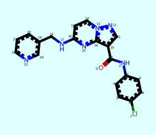 O=C(Nc1ccc(Cl)cc1)c1cnn2ccc(NCc3cccnc3)nc12